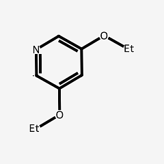 CCOc1[c]ncc(OCC)c1